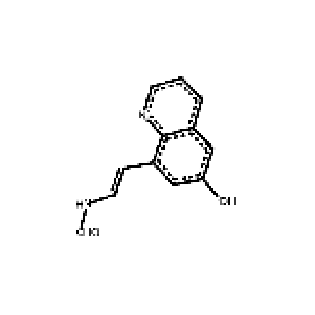 O=CNC=Cc1cc(O)cc2cccnc12